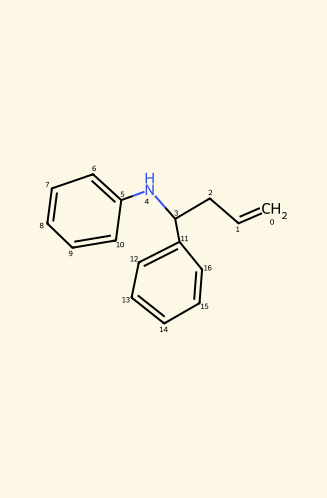 C=CCC(Nc1ccccc1)c1ccccc1